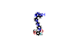 O=C(c1cc(OC(F)(F)F)ccc1F)N1CCC(N2C[C](n3ccc(-c4ncnc5[nH]ccc45)c3)C2)CC1